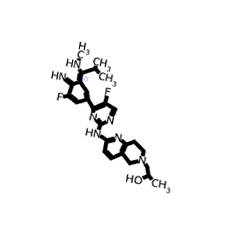 CN/C(=C1/C=C(c2nc(Nc3ccc4c(n3)CCN(CC(C)O)C4)ncc2F)C=C(F)C1=N)C(C)C